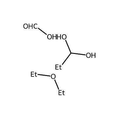 CCC(O)O.CCOCC.O=CO